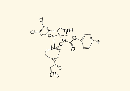 CCC(=O)N1CCC(C(=O)[C@]2(N(C)C(=O)Oc3ccc(F)cc3)CNC[C@@H]2c2ccc(Cl)c(Cl)c2)CC1